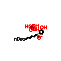 CCCCCCCCCCCCCCCC[S+]([O-])C1CCC(O)C1.O=P(O)(O)O